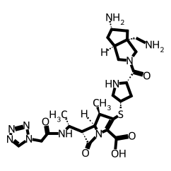 C[C@@H](NC(=O)Cn1cnnn1)[C@H]1C(=O)N2C(C(=O)O)=C(S[C@@H]3CN[C@H](C(=O)N4C[C@H]5C[C@H](N)C[C@@]5(CN)C4)C3)[C@H](C)[C@H]12